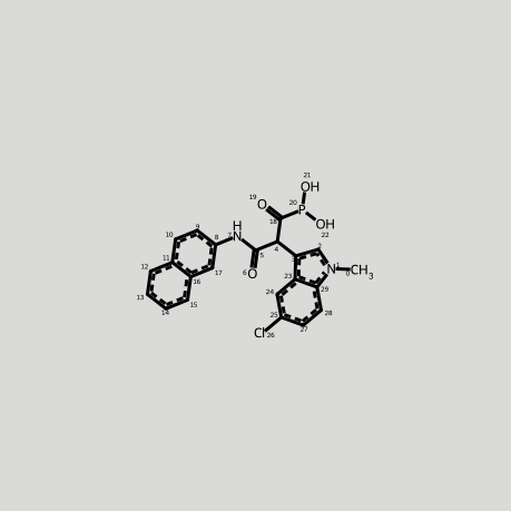 Cn1cc(C(C(=O)Nc2ccc3ccccc3c2)C(=O)P(O)O)c2cc(Cl)ccc21